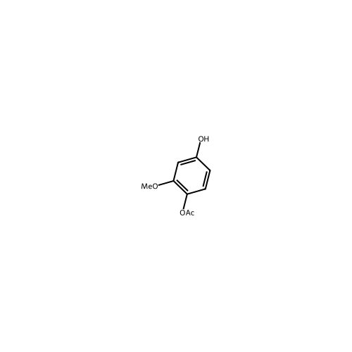 COc1cc(O)ccc1OC(C)=O